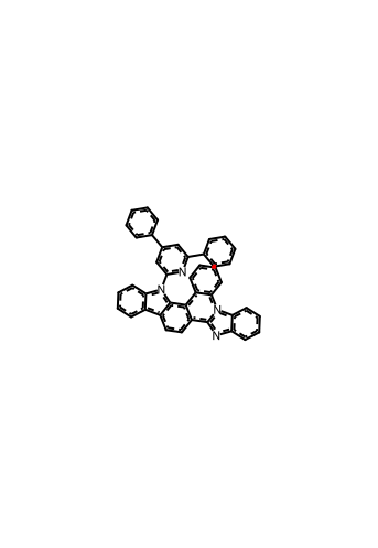 c1ccc(-c2cc(-c3ccccc3)nc(-n3c4ccccc4c4ccc5c(c6ccccc6n6c7ccccc7nc56)c43)c2)cc1